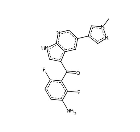 Cn1cc(-c2cnc3[nH]cc(C(=O)c4c(F)ccc(N)c4F)c3c2)cn1